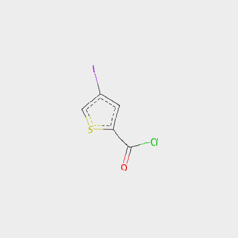 O=C(Cl)c1cc(I)cs1